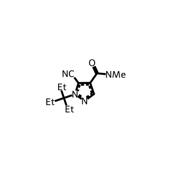 CCC(CC)(CC)n1ncc(C(=O)NC)c1C#N